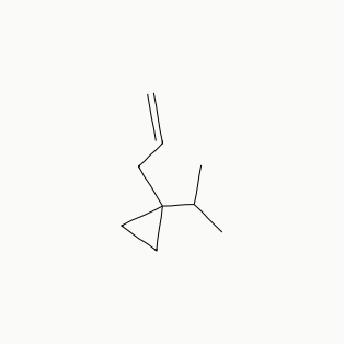 C=CCC1(C(C)C)CC1